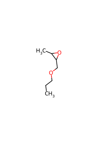 CCCOCC1OC1C